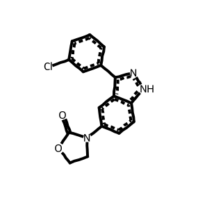 O=C1OCCN1c1ccc2[nH]nc(-c3cccc(Cl)c3)c2c1